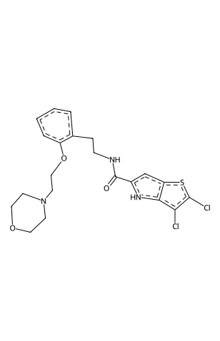 O=C(NCCc1ccccc1OCCN1CCOCC1)c1cc2sc(Cl)c(Cl)c2[nH]1